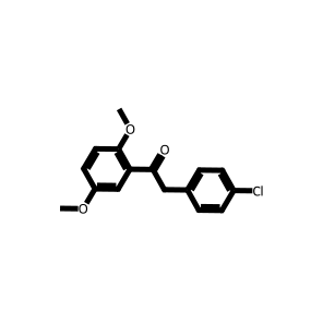 COc1ccc(OC)c(C(=O)Cc2ccc(Cl)cc2)c1